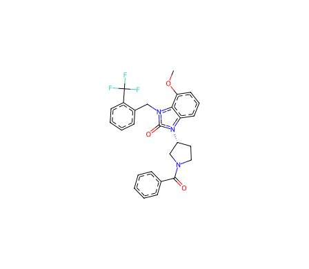 COc1cccc2c1n(Cc1ccccc1C(F)(F)F)c(=O)n2[C@@H]1CCN(C(=O)c2ccccc2)C1